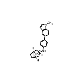 CN1[C@@H]2CC[C@H]1C[C@@H](Nc1ccc(-c3ccc4c(ccn4C)c3)cc1)C2